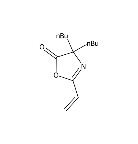 C=CC1=NC(CCCC)(CCCC)C(=O)O1